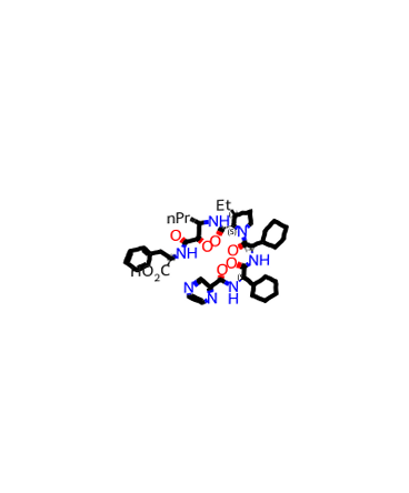 CCCC(NC(=O)[C@@H]1[C@@H](CC)CCN1C(=O)[C@@H](NC(=O)[C@@H](NC(=O)c1cnccn1)C1CCCCC1)C1CCCCC1)C(=O)C(=O)N[C@@H](Cc1ccccc1)C(=O)O